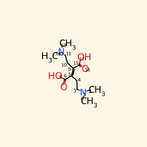 CN(C)CCC(C(=O)O)=C(CCN(C)C)C(=O)O